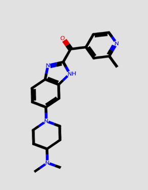 Cc1cc(C(=O)c2nc3ccc(N4CCC(N(C)C)CC4)cc3[nH]2)ccn1